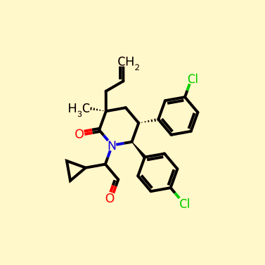 C=CC[C@@]1(C)C[C@H](c2cccc(Cl)c2)[C@@H](c2ccc(Cl)cc2)N(C(C=O)C2CC2)C1=O